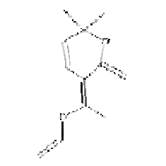 C=CO/C(C)=C1\C=CC(C)(C)OC1=C